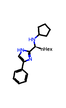 CCCCCC[C@H](NC1CCCC1)c1nc(-c2ccccc2)c[nH]1